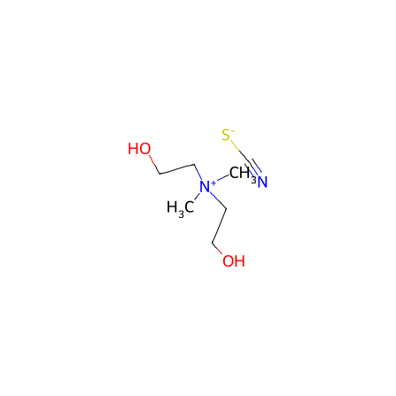 C[N+](C)(CCO)CCO.N#C[S-]